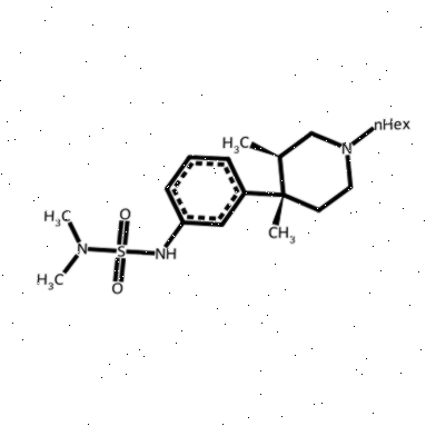 CCCCCCN1CC[C@](C)(c2cccc(NS(=O)(=O)N(C)C)c2)[C@@H](C)C1